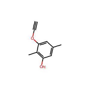 C#COc1cc(C)cc(O)c1C